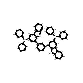 c1ccc(N(c2ccccc2)c2cc(-c3cccc(-c4cc(N(c5ccccc5)c5ccccc5)cc5c4sc4ccccc45)c3)c3oc4ccccc4c3c2)cc1